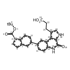 CC(C)(C)OC(=O)n1ccc2cc(-c3ccc4[nH]c(=O)c5[nH]cc(CCC(=O)O)c5c4c3)ccc21